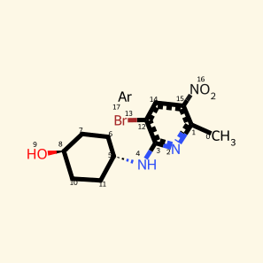 Cc1nc(N[C@H]2CC[C@H](O)CC2)c(Br)cc1[N+](=O)[O-].[Ar]